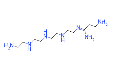 NCCNCCNCCNCCN=C(N)CCN